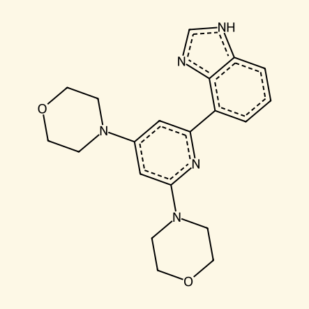 c1cc(-c2cc(N3CCOCC3)cc(N3CCOCC3)n2)c2nc[nH]c2c1